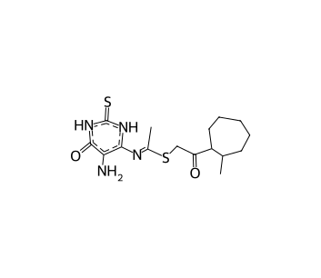 C/C(=N\c1[nH]c(=S)[nH]c(=O)c1N)SCC(=O)C1CCCCCC1C